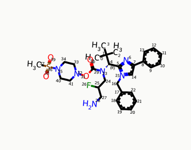 CC(C)(C)[C@H](c1nc(-c2ccccc2)cn1Cc1ccccc1)N(CC(F)CN)C(=O)ON1CCN(S(C)(=O)=O)CC1